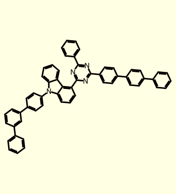 c1ccc(-c2ccc(-c3ccc(-c4nc(-c5ccccc5)nc(-c5cccc6c5c5ccccc5n6-c5ccc(-c6cccc(-c7ccccc7)c6)cc5)n4)cc3)cc2)cc1